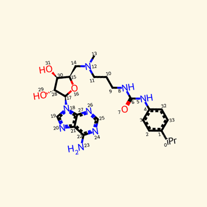 CC(C)c1ccc(NC(=O)NCCCN(C)C[C@H]2O[C@@H](n3cnc4c(N)ncnc43)[C@H](O)[C@H]2O)cc1